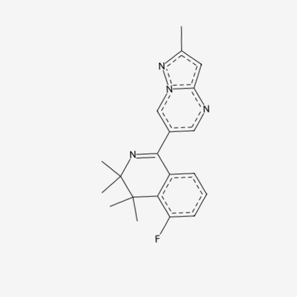 Cc1cc2ncc(C3=NC(C)(C)C(C)(C)c4c(F)cccc43)cn2n1